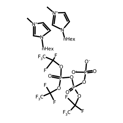 CCCCCCn1cc[n+](C)c1.CCCCCCn1cc[n+](C)c1.O=P([O-])([O-])OP(=O)(OC(F)(F)C(F)(F)F)OP(=O)(OC(F)(F)C(F)(F)F)OC(F)(F)C(F)(F)F